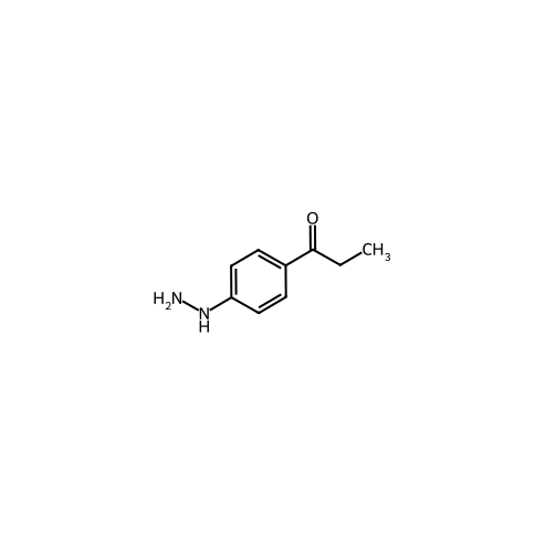 CCC(=O)c1ccc(NN)cc1